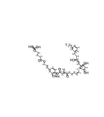 COc1cc(/C=C/COC(=O)CCCON(O)O)ccc1OC(=O)CNC(=O)CCC/C=C\C[C@@H]1[C@@H](/C=C/[C@@H](O)CCc2cccc(C(F)(F)F)c2)[C@H](O)C[C@@H]1O